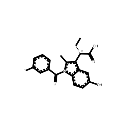 CC[C@H](C(=O)O)c1c(C)n(C(=O)c2cccc(F)c2)c2ccc(O)cc12